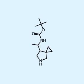 CC(NC(=O)OC(C)(C)C)C1CNCC12CC2